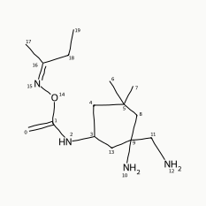 C=C(NC1CC(C)(C)CC(N)(CN)C1)O/N=C(/C)CC